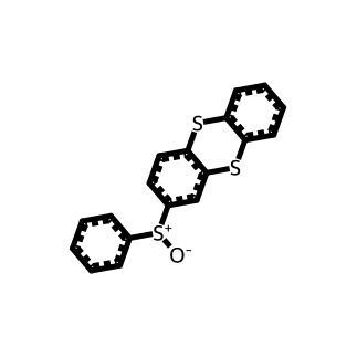 [O-][S+](c1ccccc1)c1ccc2c(c1)Sc1ccccc1S2